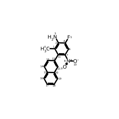 Cc1c(N)c(F)cc([N+](=O)[O-])c1-c1ccc2ccccc2c1